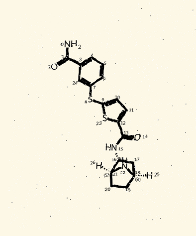 NC(=O)c1cccc(Sc2ccc(C(=O)N[C@@H]3C[C@H]4CC[C@@H]3N4)s2)c1